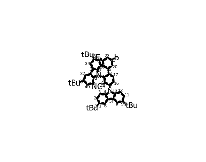 CC(C)(C)c1ccc2c(c1)c1cc(C(C)(C)C)ccc1n2-c1ccc(-c2cc(F)cc(F)c2)c(-n2c3ccc(C(C)(C)C)cc3c3cc(C(C)(C)C)ccc32)c1C#N